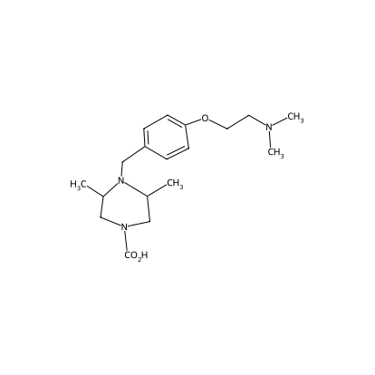 CC1CN(C(=O)O)CC(C)N1Cc1ccc(OCCN(C)C)cc1